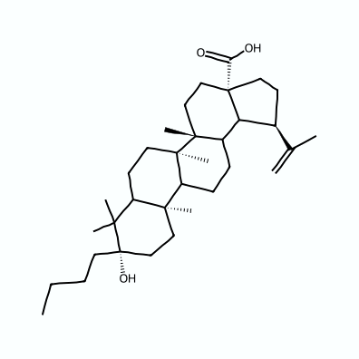 C=C(C)[C@@H]1CC[C@]2(C(=O)O)CC[C@]3(C)C(CCC4[C@@]5(C)CC[C@@](O)(CCCC)C(C)(C)C5CC[C@]43C)C12